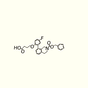 O=C(O)CCCOc1ccc(F)cc1-c1cccc2c1CN(C(=O)OCc1ccccc1)CC2